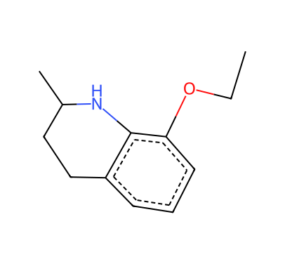 CCOc1cccc2c1NC(C)CC2